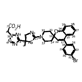 CC1(c2nnn(CC(=O)O)n2)CN=C(N2CCC3(C=C(c4ccc(Br)cc4)c4ccccc4O3)CC2)S1